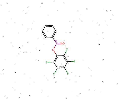 O=[PH](Oc1c(F)c(F)c(F)c(F)c1F)c1ccccc1